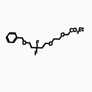 CCOC(=O)COCCOCCC(F)(F)CCOCc1ccccc1